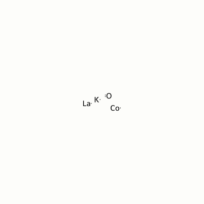 [Co].[K].[La].[O]